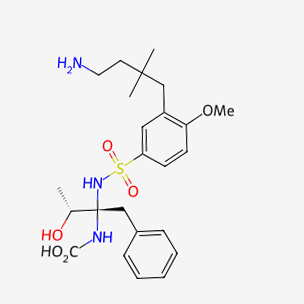 COc1ccc(S(=O)(=O)N[C@](Cc2ccccc2)(NC(=O)O)[C@@H](C)O)cc1CC(C)(C)CCN